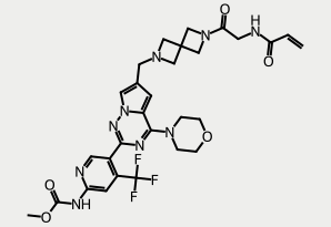 C=CC(=O)NCC(=O)N1CC2(CN(Cc3cc4c(N5CCOCC5)nc(-c5cnc(NC(=O)OC)cc5C(F)(F)F)nn4c3)C2)C1